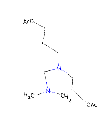 CC(=O)OCCCN(CCOC(C)=O)CN(C)C